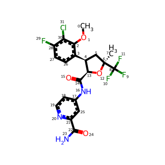 COc1c([C@H]2C[C@@](C)(C(F)(F)F)O[C@H]2C(=O)Nc2ccnc(C(N)=O)c2)ccc(F)c1Cl